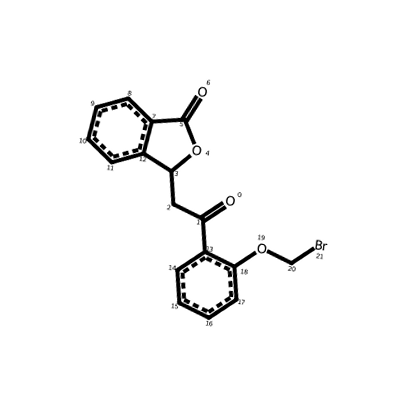 O=C(CC1OC(=O)c2ccccc21)c1ccccc1OCBr